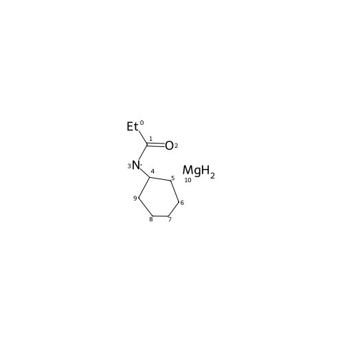 CCC(=O)[N]C1CCCCC1.[MgH2]